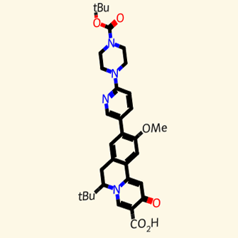 COc1cc2c(cc1-c1ccc(N3CCN(C(=O)OC(C)(C)C)CC3)nc1)CC(C(C)(C)C)n1cc(C(=O)O)c(=O)cc1-2